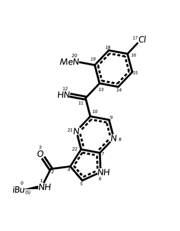 CC[C@H](C)NC(=O)c1c[nH]c2ncc(C(=N)c3ccc(Cl)cc3NC)nc12